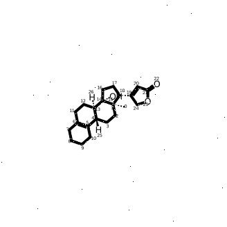 C[C@]12CC[C@@H]3C4=C(CCCC4)CC[C@H]3[C@@]1(O)CC[C@@H]2C1=CC(=O)OC1